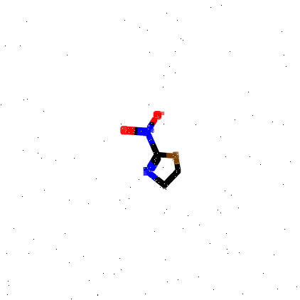 O=[N+]([O-])C1=N[CH]CS1